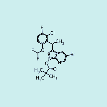 C[C@H](c1c(OC(F)F)ccc(F)c1Cl)c1cn(OC(=O)C(C)(C)C)c2ncc(Br)cc12